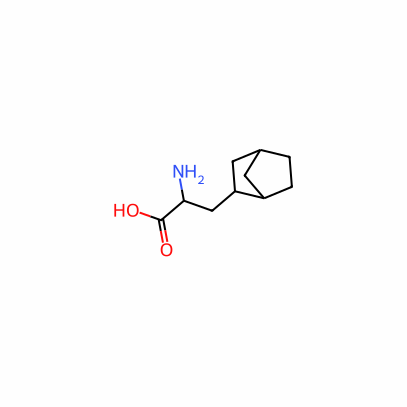 NC(CC1CC2CCC1C2)C(=O)O